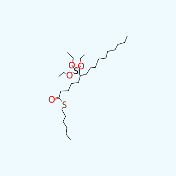 CCCCCCCCCCC(CCCCC(=O)SCCCCCC)[Si](OCC)(OCC)OCC